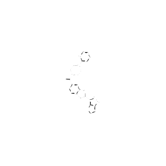 O=C(c1ccc2c(c1)NC(c1n[nH]c3ccsc13)C2)N1CCN(c2ccccn2)CC1